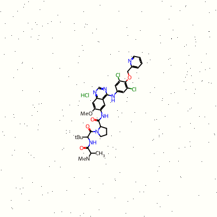 CNC(C)C(=O)NC(C(=O)N1CCCC1C(=O)Nc1cc2c(Nc3cc(Cl)c(OCc4ccccn4)c(Cl)c3)ncnc2cc1OC)C(C)(C)C.Cl